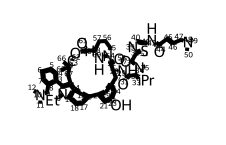 CCn1c(-c2ccccc2CN(C)C)c2c3cc(ccc31)-c1cc(O)cc(c1)C[C@H](NC(=O)C(C(C)C)N(C)C(=O)c1ncc(NC(=O)/C=C/CN(C)C)s1)C(=O)N1CCC[C@H](N1)C(=O)OCC(C)(C)C2